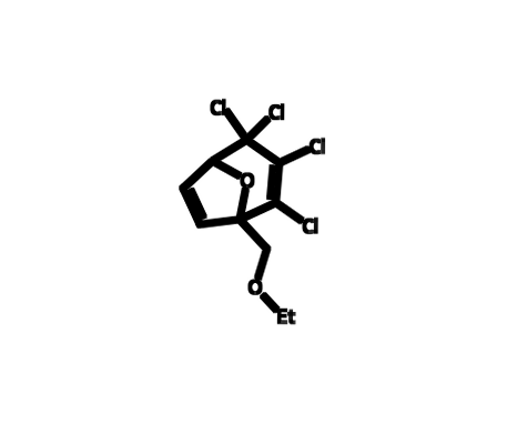 CCOCC12C=CC(O1)C(Cl)(Cl)C(Cl)=C2Cl